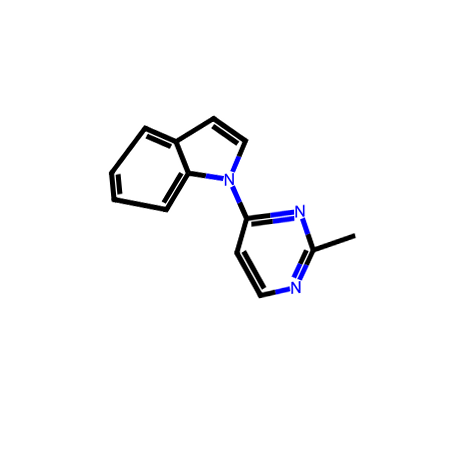 Cc1nccc(-n2ccc3ccccc32)n1